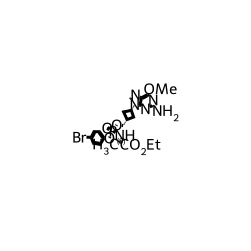 CCOC(=O)[C@H](C)NP(=O)(OC[C@H]1C[C@@H](n2cnc3c(OC)nc(N)nc32)C1)Oc1ccc(Br)cc1